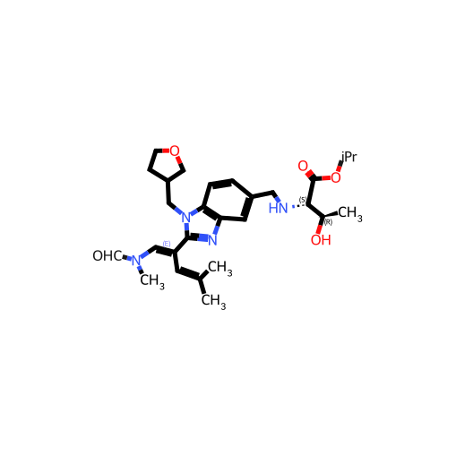 CC(C)=C/C(=C\N(C)C=O)c1nc2cc(CN[C@H](C(=O)OC(C)C)[C@@H](C)O)ccc2n1CC1CCOC1